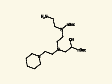 CCCCCCCCCCC(O)CN(CCN(CCN)CCCCCCCCCC)CCN1CCCCC1